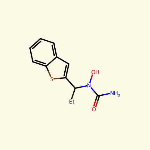 CCC(c1cc2ccccc2s1)N(O)C(N)=O